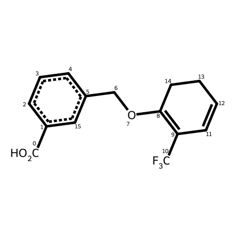 O=C(O)c1cccc(COC2=C(C(F)(F)F)C=CCC2)c1